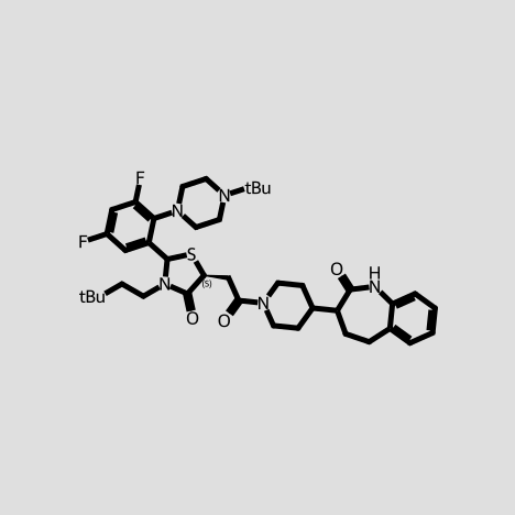 CC(C)(C)CCN1C(=O)[C@H](CC(=O)N2CCC(C3CCc4ccccc4NC3=O)CC2)SC1c1cc(F)cc(F)c1N1CCN(C(C)(C)C)CC1